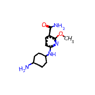 COc1nc(NC2CCC(N)CC2)ccc1C(N)=O